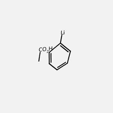 CC(=O)O.[Li][c]1ccccc1